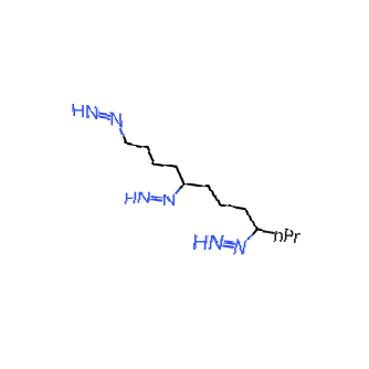 CCCC(CCCC(CCCCN=N)N=N)N=N